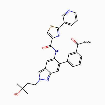 CNC(=O)c1cccc(-c2cc3nn(CCC(C)(C)O)cc3cc2NC(=O)c2csc(-c3cccnc3)n2)c1